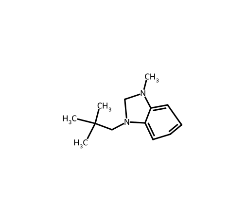 CN1CN(CC(C)(C)C)c2ccccc21